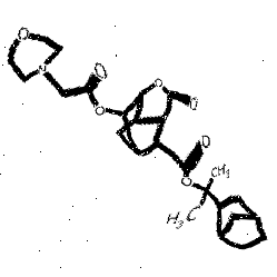 CC(C)(OC(=O)C1C2CC3C(OC(=O)C31)C2OC(=O)CN1CCOCC1)C1CC2CCC1C2